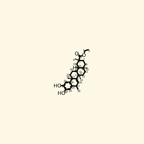 CCOC(=O)[C@]1(C)CC[C@]2(C)CC[C@]3(C)C4=CC(C)c5cc(O)c(O)cc5[C@]4(C)CC[C@@]3(C)[C@@H]2C1